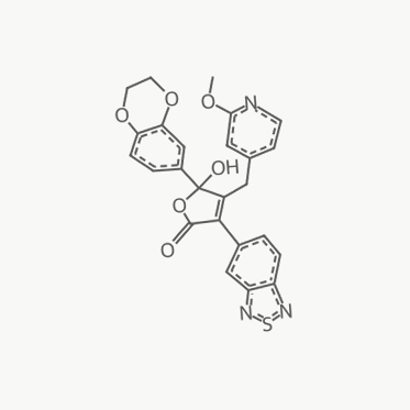 COc1cc(CC2=C(c3ccc4nsnc4c3)C(=O)OC2(O)c2ccc3c(c2)OCCO3)ccn1